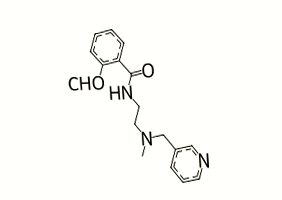 CN(CCNC(=O)c1ccccc1C=O)Cc1cccnc1